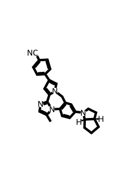 Cc1cnc2n1-c1ccc(N3CC[C@@H]4CCC[C@@H]43)cc1Cn1cc(-c3ccc(C#N)cc3)cc1-2